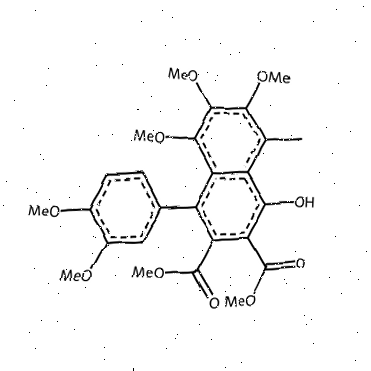 COC(=O)c1c(C(=O)OC)c(-c2ccc(OC)c(OC)c2)c2c(OC)c(OC)c(OC)c(C)c2c1O